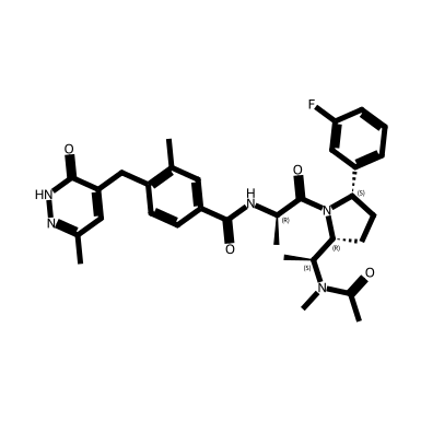 CC(=O)N(C)[C@@H](C)[C@H]1CC[C@@H](c2cccc(F)c2)N1C(=O)[C@@H](C)NC(=O)c1ccc(Cc2cc(C)n[nH]c2=O)c(C)c1